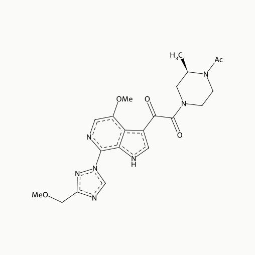 COCc1ncn(-c2ncc(OC)c3c(C(=O)C(=O)N4CCN(C(C)=O)[C@H](C)C4)c[nH]c23)n1